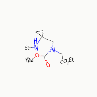 CCNC1(CN(CC(=O)OCC)C(=O)OC(C)(C)C)CC1